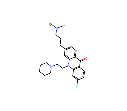 CCN(CC)CCCc1ccc2c(=O)c3ccc(Cl)cc3n(CCN3CCCCC3)c2c1